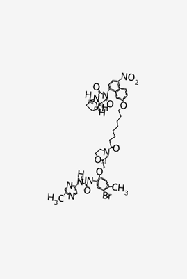 Cc1cnc(NC(=O)Nc2cc(Br)c(C)cc2OC[C@@H]2CN(C(=O)CCCCCCCOc3ccc4c([N+](=O)[O-])ccc(N5C(=O)[C@H]6[C@H]7CC[C@H](C7)N6C5=O)c4c3)CCO2)cn1